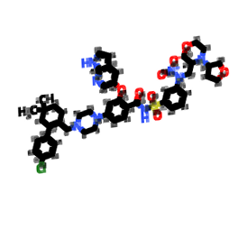 CC1(C)CCC(CN2CCN(c3ccc(C(=O)NS(=O)(=O)c4cccc(N(CC5COCCN5C5CCOC5)[N+](=O)[O-])c4)c(Oc4cnc5[nH]ccc5c4)c3)CC2)=C(c2ccc(Cl)cc2)C1